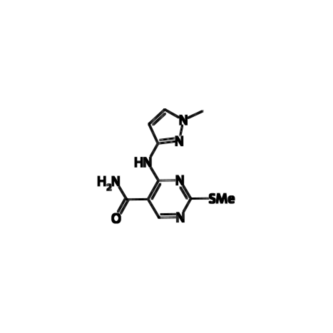 CSc1ncc(C(N)=O)c(Nc2ccn(C)n2)n1